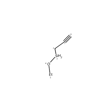 C#CC[SiH2]OCC